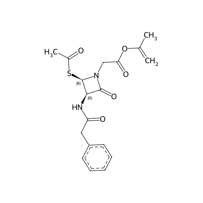 C=C(C)OC(=O)CN1C(=O)[C@@H](NC(=O)Cc2ccccc2)[C@H]1SC(C)=O